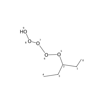 CCC(CC)OOOOO